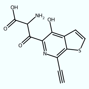 C#Cc1nc(C(=O)C(N)C(=O)O)c(O)c2ccsc12